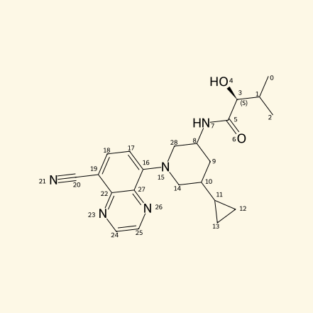 CC(C)[C@H](O)C(=O)NC1CC(C2CC2)CN(c2ccc(C#N)c3nccnc23)C1